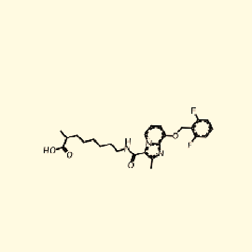 Cc1nc2c(OCc3c(F)cccc3F)cccn2c1C(=O)NCCCCCCC(C)C(=O)O